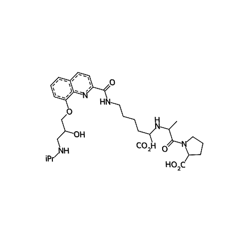 CC(C)NCC(O)COc1cccc2ccc(C(=O)NCCCCC(NC(C)C(=O)N3CCCC3C(=O)O)C(=O)O)nc12